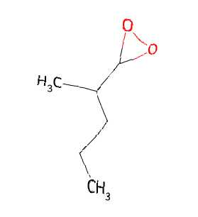 CCCC(C)C1OO1